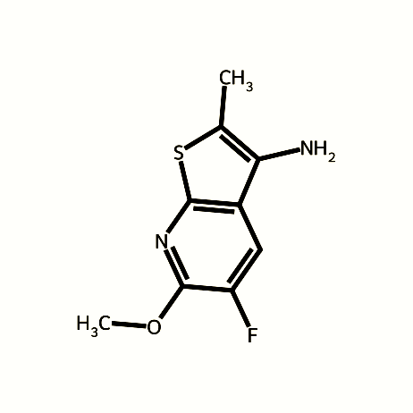 COc1nc2sc(C)c(N)c2cc1F